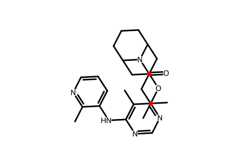 Cc1ncccc1Nc1ncnc(OC2CC3CCCC(C2)N3C(=O)CC(C)C)c1C